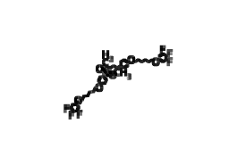 CC(CC1C(=O)N(c2ccc(OCCCCCCOc3cc(F)c(F)c(F)c3)cc2)C(=O)C1C)c1ccc(OCCCCCCOc2cc(F)c(F)c(F)c2)cc1